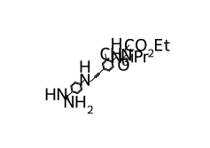 CCOC(=O)CN(C(=O)Nc1ccc(C#CCNc2ccc(C(=N)N)cc2)cc1C)C(C)C